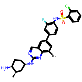 CCc1cc(-c2ccc(NS(=O)(=O)c3ccccc3Cl)c(F)c2)cc2cnc(N[C@@H]3CC[C@H](N)[C@H](C)C3)nc12